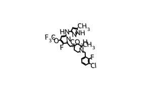 Cc1cc(Nc2cc(OC(F)(F)F)c(F)c(C[C@@]3(C(=O)O)CCN(Cc4cccc(Cl)c4F)[C@H](C)C3)n2)n[nH]1